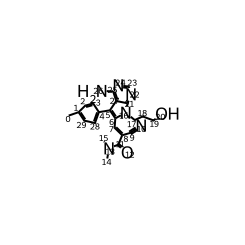 Cc1ccc(-c2c(/C=C(\C#N)C(=O)N(C)C)n(CCCO)c3ncnc(N)c23)cc1